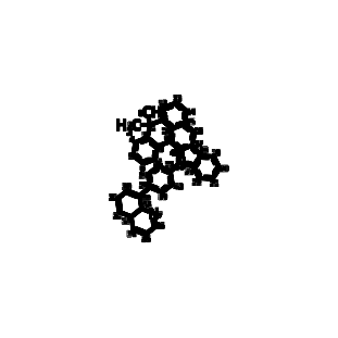 CC1(C)c2ccccc2-c2c3c1cccc3cc1c3ccccc3n(-c3ccc(C4=CC=CC5C=CC=NC45)cc3)c21